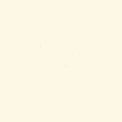 CCOCC(CC)C(=O)O.CCOCCCCC(=O)O